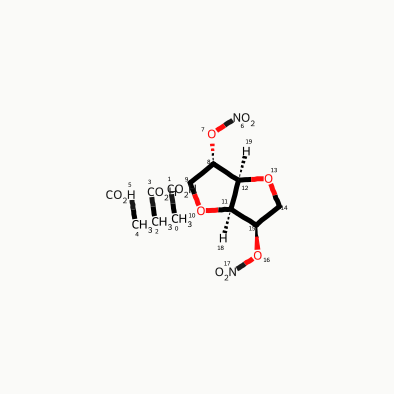 CC(=O)O.CC(=O)O.CC(=O)O.O=[N+]([O-])O[C@H]1CO[C@H]2[C@@H]1OC[C@H]2O[N+](=O)[O-]